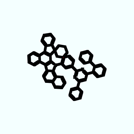 c1ccc(-c2cc(-c3ccccc3-c3ccccc3)nc(-c3cccc(-n4c5c6c(c7ccccc7c5c5ccc7ccccc7c54)-c4ccccc4C64CCCCC4)c3)n2)cc1